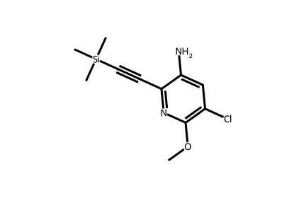 COc1nc(C#C[Si](C)(C)C)c(N)cc1Cl